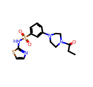 CCC(=O)N1CCN(c2cccc(S(=O)(=O)Nc3nccs3)c2)CC1